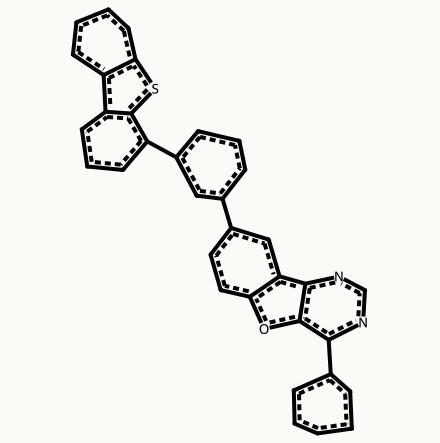 c1ccc(-c2ncnc3c2oc2ccc(-c4cccc(-c5cccc6c5sc5ccccc56)c4)cc23)cc1